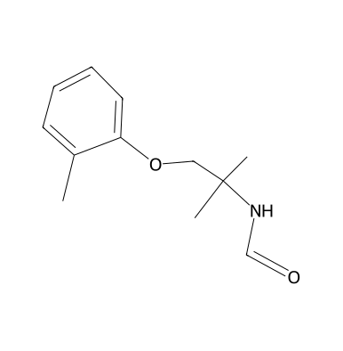 Cc1ccccc1OCC(C)(C)NC=O